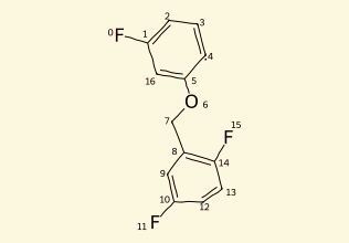 Fc1cc[c]c(OCc2cc(F)ccc2F)c1